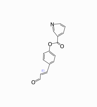 O=C/C=C/c1ccc(OC(=O)c2cccnc2)cc1